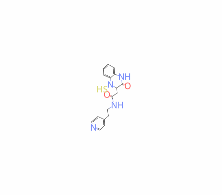 O=C(CC1C(=O)Nc2ccccc2N1S)NCCc1ccncc1